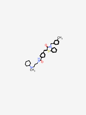 Cc1cccc(CN2C(=O)C(=Cc3ccc(C(=O)NCCCN(C)C4CCCCC4)cc3)Sc3ccccc32)c1